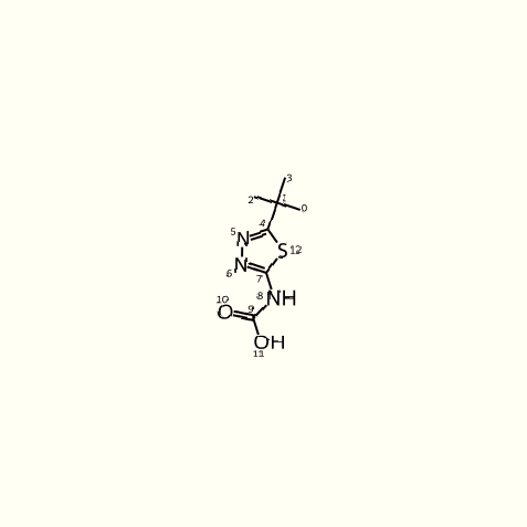 CC(C)(C)c1nnc(NC(=O)O)s1